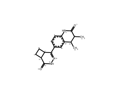 CC1C(=O)Nc2ccc(C3=NNC(=O)C4CCC34)cc2C1C